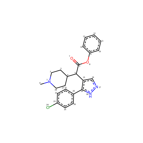 CN1CCC(C(C(=O)Oc2ccccc2)c2cn[nH]c2-c2ccc(Cl)cc2)CC1